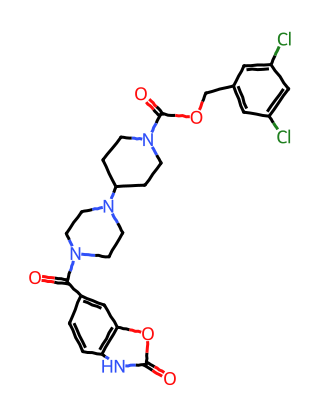 O=C(OCc1cc(Cl)cc(Cl)c1)N1CCC(N2CCN(C(=O)c3ccc4[nH]c(=O)oc4c3)CC2)CC1